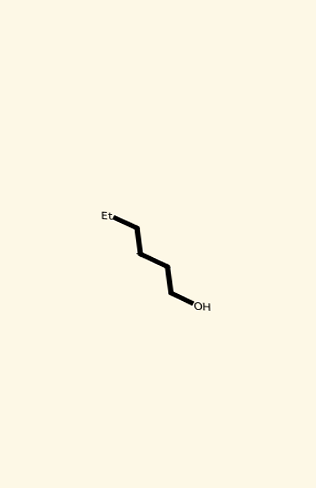 CCC[CH]CCO